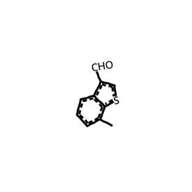 Cc1cccc2c(C=O)csc12